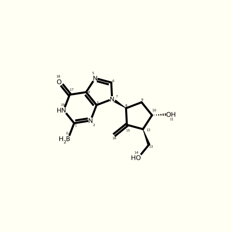 Bc1nc2c(ncn2[C@H]2C[C@H](O)[C@@H](CO)C2=C)c(=O)[nH]1